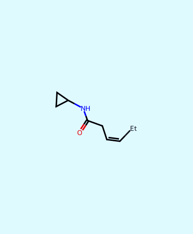 CC/C=C\CC(=O)NC1CC1